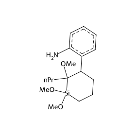 CCCC1(OC)C(c2ccccc2N)CCC[Si]1(OC)OC